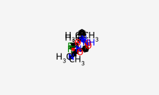 Cc1cccc(C)c1-c1nc2nc(c1C)OC[C@@H](CC1(C(F)(F)F)CC1)N(C1CC3(CC(N(C)C)C3)C1)C(=O)c1cccc(c1)S(=O)(=O)N2